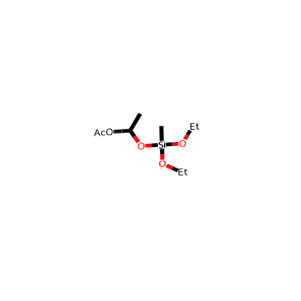 CCO[Si](C)(OCC)OC(C)OC(C)=O